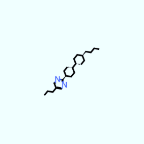 CCCC[C@H]1CC[C@H]([C@H]2CC[C@H](c3ncc(CCC)cn3)CC2)CC1